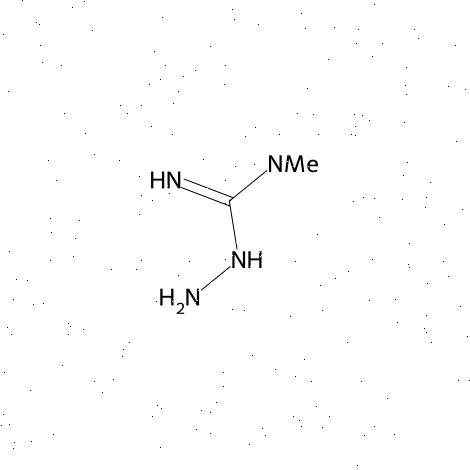 CNC(=N)NN